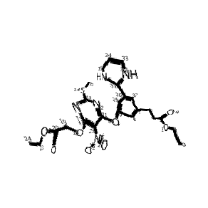 CCOC(=O)CCc1cc(Oc2nc(SC)nc(OCC(=O)OCC)c2[N+](=O)[O-])cc(C2NC=CCN2)c1